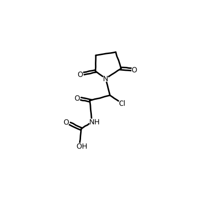 O=C(O)NC(=O)C(Cl)N1C(=O)CCC1=O